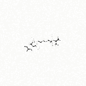 CCC(C)C(C)SC1CC(=O)N(CCCCCC(=O)NC(C(C)=O)C(C)C)C1=O